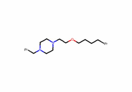 CC(C)CCCCOCCN1CCN(CC(C)C)CC1